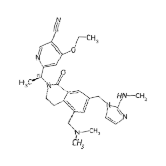 CCOc1cc([C@H](C)N2CCc3c(CN(C)C)cc(Cn4ccnc4NC)cc3C2=O)ncc1C#N